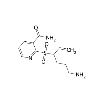 C=CC(CCCN)S(=O)(=O)c1ncccc1C(N)=O